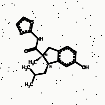 CC(C)C[C@@H]1c2cc(O)ccc2C[C@]1(C)C(=O)Nc1nccs1